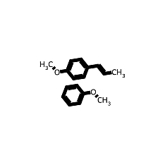 CC=Cc1ccc(OC)cc1.COc1ccccc1